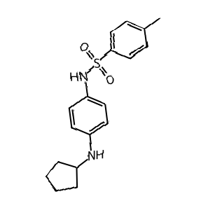 Cc1ccc(S(=O)(=O)Nc2ccc(NC3CCCC3)cc2)cc1